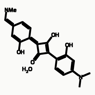 CNC=c1ccc(=C2C(=O)C(c3ccc(N(C)C)cc3O)=C2O)c(O)c1.O